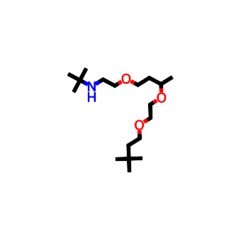 CC(CCOCCNC(C)(C)C)OCCOCCC(C)(C)C